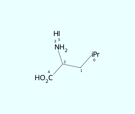 CC(C)CC(N)C(=O)O.I